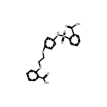 O=C(O)c1ccccc1OCCOc1ccc(NS(=O)(=O)c2ccccc2C(=O)O)cc1